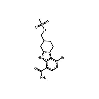 CS(=O)(=O)OCC1CCc2c([nH]c3c(C(N)=O)ccc(Br)c23)C1